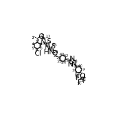 CC(C)c1ccc(Cl)cc1N1C(=O)CS/C1=N\C(=S)NOCc1ccc(-c2ncn(-c3ccc(OC(F)(F)F)cc3)n2)cc1